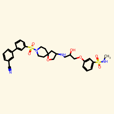 CNS(=O)(=O)c1cccc(OCC(O)CNC2COC3(CCN(S(=O)(=O)c4cccc(-c5cccc(C#N)c5)c4)CC3)C2)c1